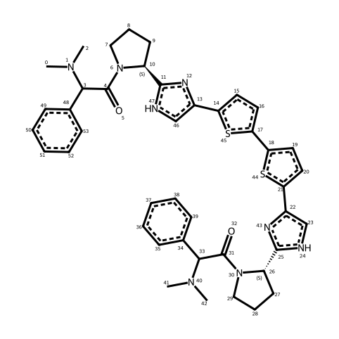 CN(C)C(C(=O)N1CCC[C@H]1c1nc(-c2ccc(-c3ccc(-c4c[nH]c([C@@H]5CCCN5C(=O)C(c5ccccc5)N(C)C)n4)s3)s2)c[nH]1)c1ccccc1